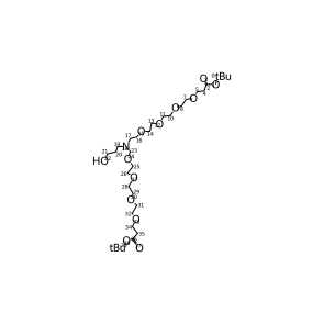 CC(C)(C)OC(=O)CCOCCOCCOCCOCCN(CCCO)COCCOCCOCCOCCC(=O)OC(C)(C)C